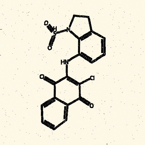 O=C1C(Cl)=C(Nc2cccc3c2N([SH](=O)=O)CC3)C(=O)c2ccccc21